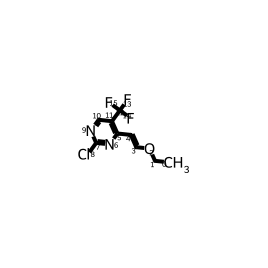 CCO/C=C/c1nc(Cl)ncc1C(F)(F)F